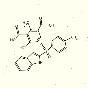 Cc1c(C(=O)O)ccc(Cl)c1C(=O)O.Cc1ccc(S(=O)(=O)c2cc3ccccc3[nH]2)cc1